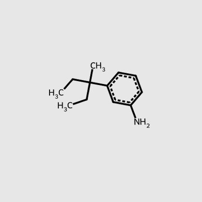 CCC(C)(CC)c1cccc(N)c1